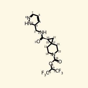 O=C(NCC1C=CC=NN1)[C@H]1CC12CCN(C(=O)OC(C(F)(F)F)C(F)(F)F)CC2